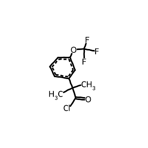 CC(C)(C(=O)Cl)c1cccc(OC(F)(F)F)c1